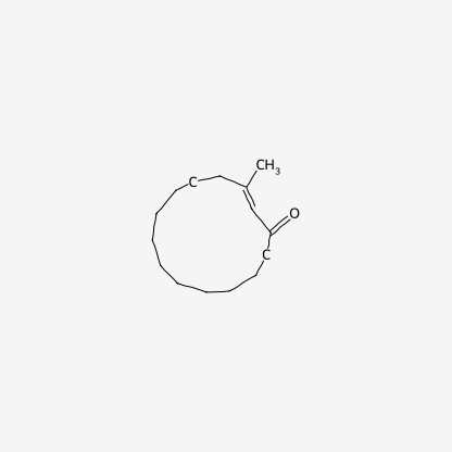 C/C1=C\C(=O)CCCCCCCCCCC1